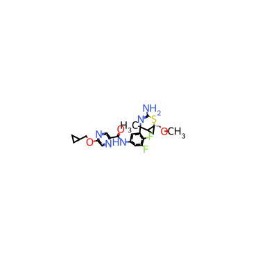 COC[C@]12CC1[C@@](C)(c1cc(NC(=O)c3cnc(OCC4CC4)cn3)cc(F)c1F)N=C(N)S2